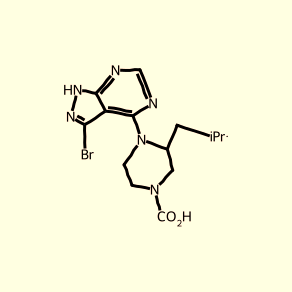 C[C](C)CC1CN(C(=O)O)CCN1c1ncnc2[nH]nc(Br)c12